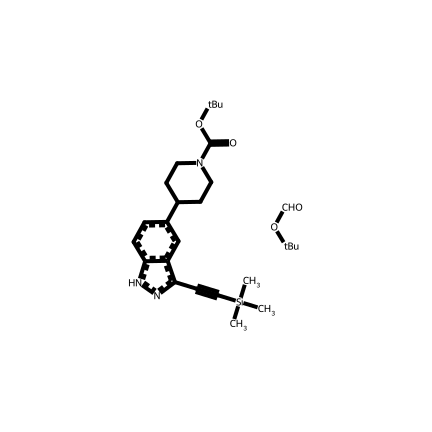 CC(C)(C)OC(=O)N1CCC(c2ccc3[nH]nc(C#C[Si](C)(C)C)c3c2)CC1.CC(C)(C)OC=O